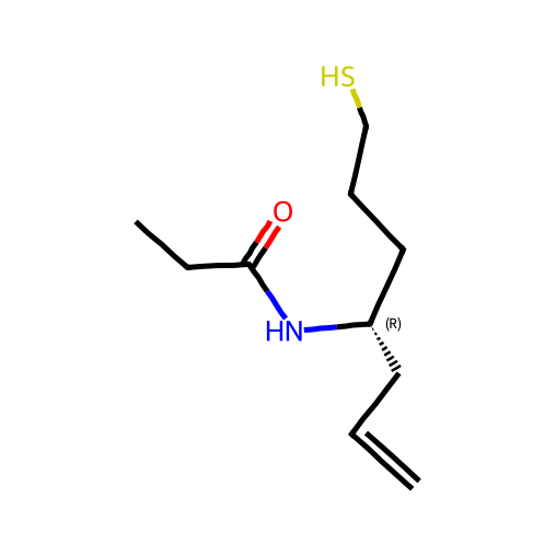 C=CC[C@@H](CCCS)NC(=O)CC